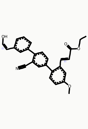 CCOC(=O)/C=C/c1cc(OC)ccc1-c1ccc(-c2cccc(/C=C\O)c2)c(C#N)c1